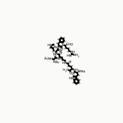 CCCC[C@H](NC(C)=O)C(=O)NC(CCCNC(=O)CCC(NC(=O)[C@H](Cc1c[nH]c2ccccc12)NC)C(N)=O)C(=O)N[C@@H](Cc1c[nH]cn1)C(=O)NC(Cc1ccccc1)C(=O)N[C@H](C=O)CCCNC(=N)N